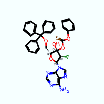 Nc1ncnc2c1ncn2[C@@H]1O[C@H](COC(c2ccccc2)(c2ccccc2)c2ccccc2)[C@](O)(OC(=S)Oc2ccccc2)[C@H]1F